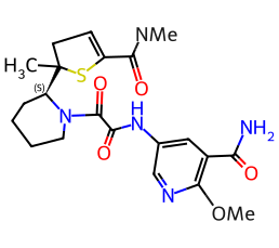 CNC(=O)C1=CCC(C)([C@@H]2CCCCN2C(=O)C(=O)Nc2cnc(OC)c(C(N)=O)c2)S1